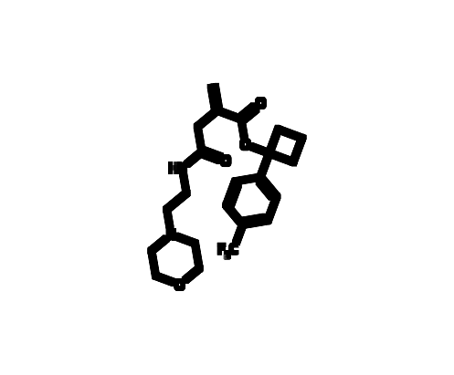 C=C(CC(=O)NCCN1CCOCC1)C(=O)OC1(c2ccc(C(F)(F)F)cc2)CCC1